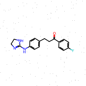 O=C(CCc1ccc(NC2=NCCN2)cc1)c1ccc(F)cc1